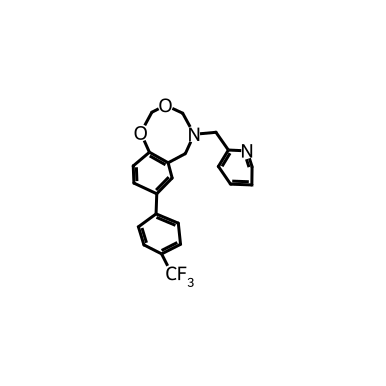 FC(F)(F)c1ccc(-c2ccc3c(c2)CN(Cc2ccccn2)COCO3)cc1